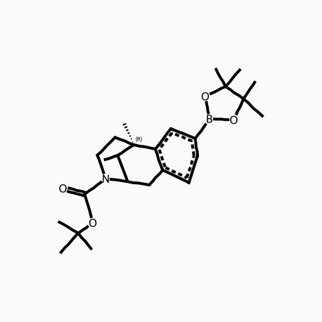 CC1C2Cc3ccc(B4OC(C)(C)C(C)(C)O4)cc3[C@]1(C)CCN2C(=O)OC(C)(C)C